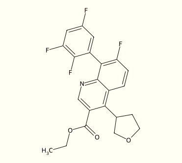 CCOC(=O)c1cnc2c(-c3cc(F)cc(F)c3F)c(F)ccc2c1C1CCOC1